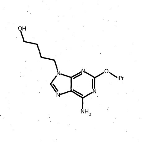 CC(C)Oc1nc(N)c2ncn(CCCCO)c2n1